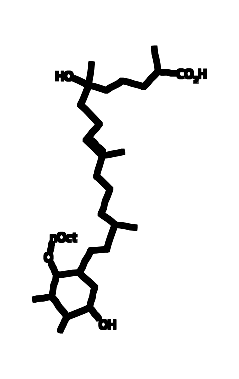 CCCCCCCCOC1C(CCC(C)CCC/C(C)=C/CCC(C)(O)CCCC(C)C(=O)O)CC(O)C(C)C1C